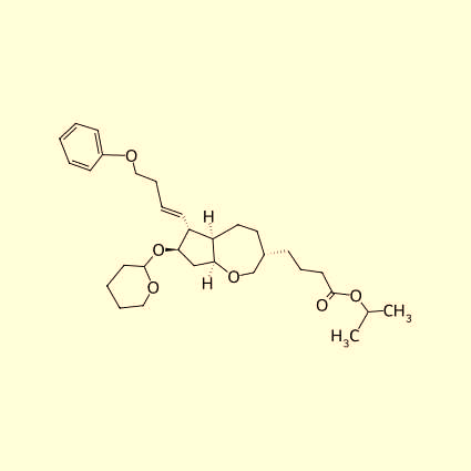 CC(C)OC(=O)CCC[C@H]1CC[C@@H]2[C@@H](C=CCCOc3ccccc3)[C@H](OC3CCCCO3)C[C@@H]2OC1